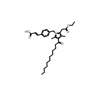 CCCCCCCCCCCC(=O)c1c(C)c(CC(=O)OCC)n(Cc2ccc(C=CC(=O)O)cc2)c1C